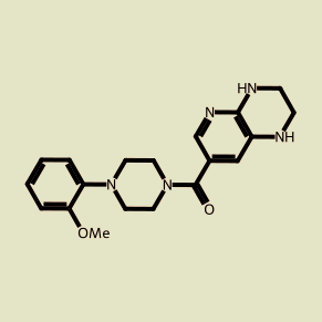 COc1ccccc1N1CCN(C(=O)c2cnc3c(c2)NCCN3)CC1